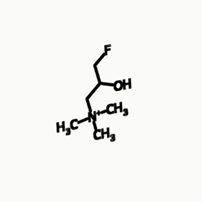 C[N+](C)(C)CC(O)CF